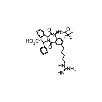 CC(C)N1C(=O)C(c2ccccc2)N(C(CC(=O)O)c2ccccc2)C(=O)c2cc(CCCCCNC(=N)N)ccc21.O=C(O)C(F)(F)F